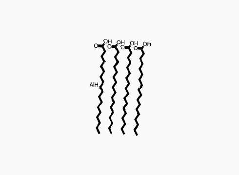 CCCCCCCCCCCCCCCCCC(=O)O.CCCCCCCCCCCCCCCCCC(=O)O.CCCCCCCCCCCCCCCCCC(=O)O.CCCCCCCCCCCCCCCCCC(=O)O.[AlH3]